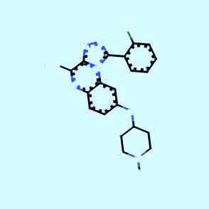 Cc1nc2ccc(NC3CCN(C)CC3)cc2n2c(-c3ccccc3Cl)nnc12